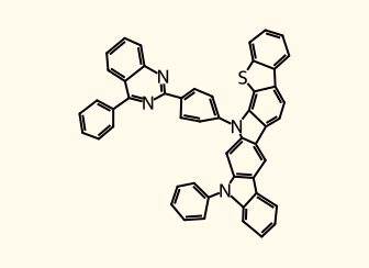 c1ccc(-c2nc(-c3ccc(-n4c5cc6c(cc5c5ccc7c8ccccc8sc7c54)c4ccccc4n6-c4ccccc4)cc3)nc3ccccc23)cc1